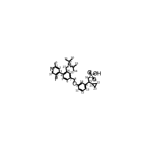 Cc1cc(-c2ccc(COc3cccc(C(CS(=O)(=O)O)C4CC4)c3)cc2CN(C(C)C)C(C)C)c(F)cn1